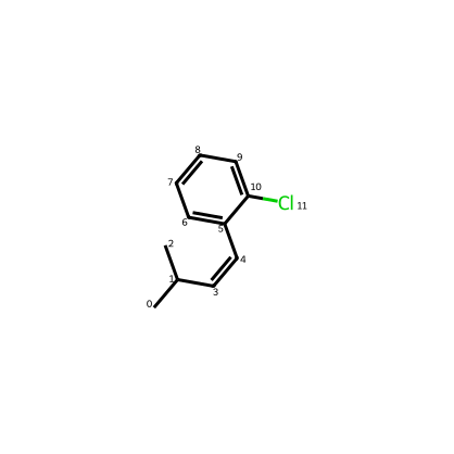 CC(C)/C=C\c1ccccc1Cl